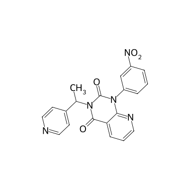 CC(c1ccncc1)n1c(=O)c2cccnc2n(-c2cccc([N+](=O)[O-])c2)c1=O